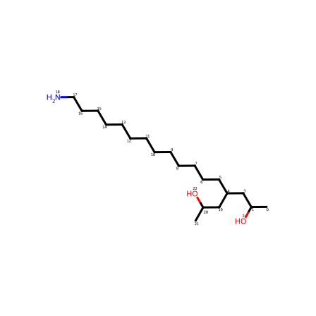 CC(O)CC(CCCCCCCCCCCCCN)CC(C)O